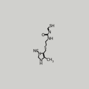 CC1=C(CSCCNC(=O)N=CS)N(C#N)CN1